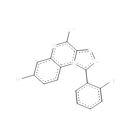 Cc1nc2cc(Br)ccc2n2c(-c3ccccc3Cl)nnc12